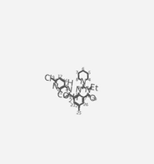 CCn1c(N2CCCCC2)nc2c([C@@H](C)Nc3ccc(Cl)nc3C(=O)O)cc(C)cc2c1=O